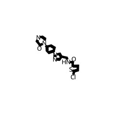 O=C(NCc1cnn(-c2ccc(-n3ccncc3=O)cc2)c1)c1ccc(Cl)s1